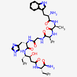 CC(C)C[C@H](NC(=O)C[C@H](O)[C@H](CC(C)C)NC(=O)[C@H](Cc1c[nH]cn1)NC(=O)CNC(=O)[C@@H](NC(=O)[C@H](C)NC(=O)[C@@H](N)Cc1c[nH]c2ccccc12)C(C)C)C(N)=O